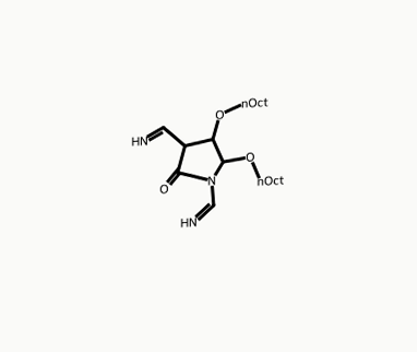 CCCCCCCCOC1C(C=N)C(=O)N(C=N)C1OCCCCCCCC